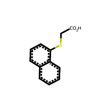 O=C(O)CSc1cccc2ccccc12